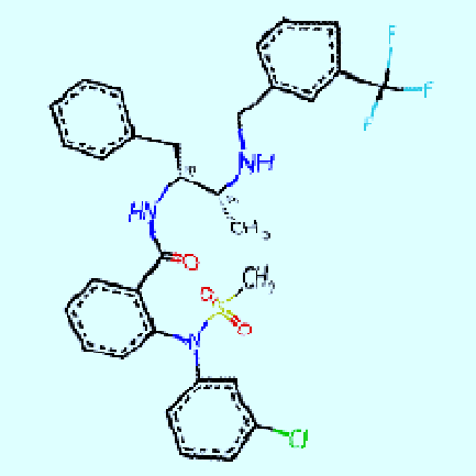 C[C@@H](NCc1cccc(C(F)(F)F)c1)[C@H](Cc1ccccc1)NC(=O)c1ccccc1N(c1cccc(Cl)c1)S(C)(=O)=O